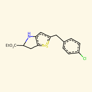 CCOC(=O)C1Cc2sc(Cc3ccc(Cl)cc3)cc2N1